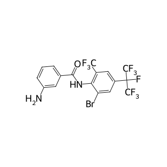 Nc1cccc(C(=O)Nc2c(Br)cc(C(F)(C(F)(F)F)C(F)(F)F)cc2C(F)(F)F)c1